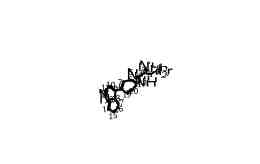 CC(C)C[C@@H](N)c1nc2cc(-c3ccnc4ccccc34)ccc2[nH]1